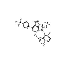 CC(C)(C)OC(=O)N1Cc2c(F)ccc3c2[C@H](CO3)COc2cc(-c3ccc(C(F)(F)F)cn3)c3nncn3c21